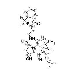 CC(C)(C)[C@@H](C(=O)N1C[C@H](O)C[C@H]1C(=O)NCCNC(=O)c1ccccc1C(F)(F)F)n1cc(C2CC2)nn1